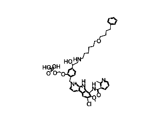 COc1c(Cl)cc2c([nH]c3c[n+](Cc4ccc(C(O)CNCCCCCCOCCCCc5ccccc5)cc4OCOP(=O)(O)O)ccc32)c1NC(=O)c1cccnc1C